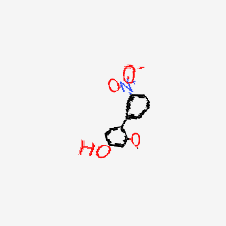 COc1cc(O)ccc1-c1cccc([N+](=O)[O-])c1